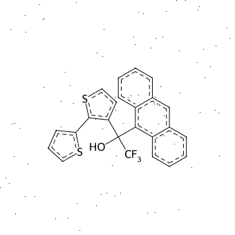 OC(c1ccsc1-c1cccs1)(c1c2ccccc2cc2ccccc12)C(F)(F)F